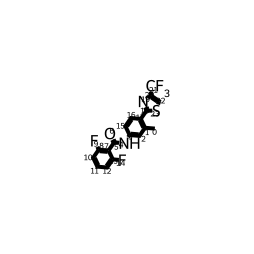 Cc1cc(NC(=O)c2c(F)cccc2F)ccc1-c1nc(C(F)(F)F)cs1